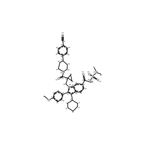 COc1ccc(-c2c(C3CCCCC3)c3ccc(C(=O)NS(=O)(=O)N(C)C)cc3n2CC2(C(=O)N3CCC(c4ccc(C#N)cc4)CC3)CC2)cc1